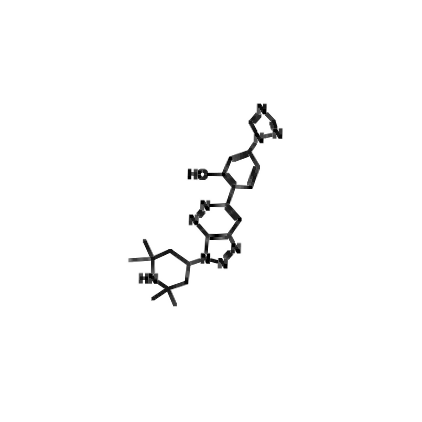 CC1(C)CC(n2nnc3cc(-c4ccc(-n5cncn5)cc4O)nnc32)CC(C)(C)N1